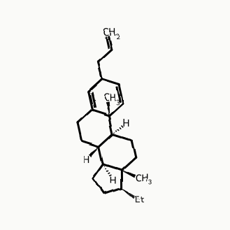 C=CCC1C=C[C@@]2(C)C(=C1)CC[C@H]1[C@@H]3CC[C@H](CC)[C@@]3(C)CC[C@@H]12